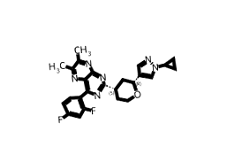 Cc1nc2nc([C@H]3CCO[C@@H](c4cnn(C5CC5)c4)C3)nc(-c3ccc(F)cc3F)c2nc1C